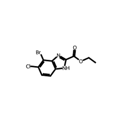 CCOC(=O)c1nc2c(Br)c(Cl)ccc2[nH]1